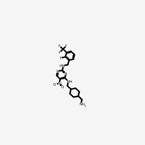 NCC1CCC(CNc2nc(NCc3cccc(C(F)(F)F)c3F)ncc2[N+](=O)[O-])CC1